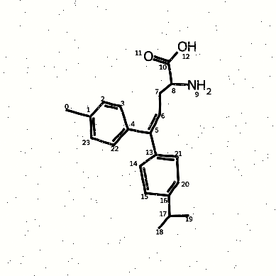 Cc1ccc(/C(=C\CC(N)C(=O)O)c2ccc(C(C)C)cc2)cc1